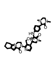 CC(=O)OCc1c(-c2cn(C)c(=O)c(Nc3ccc(C4C(=O)N(C)CCN4C)cc3)n2)ccnc1N1CCn2c(cc3c2CCCC3)C1=O